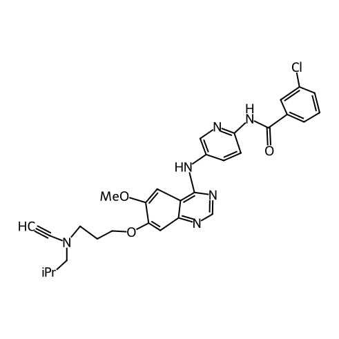 C#CN(CCCOc1cc2ncnc(Nc3ccc(NC(=O)c4cccc(Cl)c4)nc3)c2cc1OC)CC(C)C